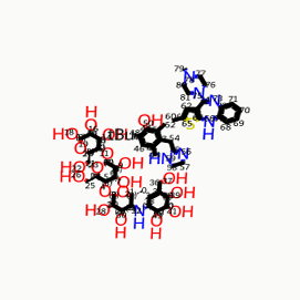 C[C@H]1O[C@H](O[C@H]2[C@H](O)[C@@H](O)[C@@H](O[C@H]3[C@H](O)[C@@H](O)[C@H](O)O[C@@H]3CO)O[C@@H]2CO)[C@H](O)[C@@H](O)[C@@H]1N[C@H]1C=C(CO)[C@@H](O)[C@H](O)[C@H]1O.Cc1cc(C(C)(C)C)c(O)c(C)c1CC1=NCCN1.Cc1cc2c(s1)Nc1ccccc1N=C2N1CCN(C)CC1